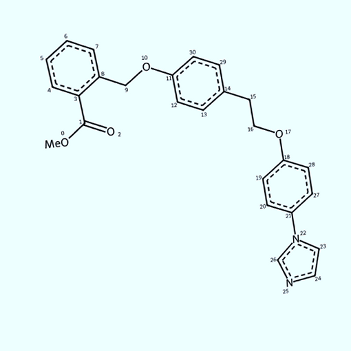 COC(=O)c1ccccc1COc1ccc(CCOc2ccc(-n3ccnc3)cc2)cc1